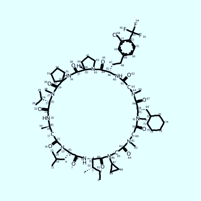 CC[C@H](C)[C@@H]1NC(=O)[C@H](CC(C)C)N(C)C(=O)C[C@@H](C)NC(=O)[C@H](C(C)C)N(C)C(=O)C2(CCCC2)NC(=O)[C@@H]2CCCN2C(=O)[C@H](CCc2ccc(C(F)(F)F)c(Cl)c2)NC(=O)CN(C)C(=O)[C@H](CC2CCCCC2)N(C)C(=O)CN(C)C(=O)CN(C2CC2)C1=O